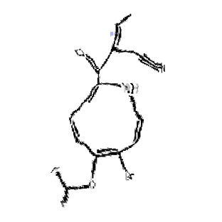 C/C=C(\C#N)C(=O)c1cccc(OC(F)F)c(Br)cc[nH]1